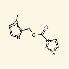 Cn1ccnc1COC(=O)n1ccnc1